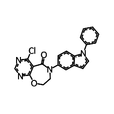 O=C1c2c(Cl)ncnc2OCCN1c1ccc2c(ccn2-c2ccccc2)c1